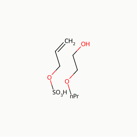 C=CCOS(=O)(=O)O.CCCOCCO